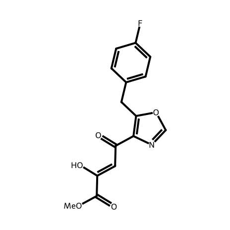 COC(=O)/C(O)=C/C(=O)c1ncoc1Cc1ccc(F)cc1